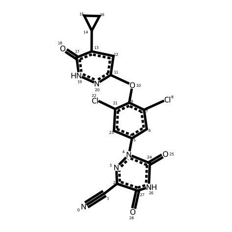 N#Cc1nn(-c2cc(Cl)c(Oc3cc(C4CC4)c(=O)[nH]n3)c(Cl)c2)c(=O)[nH]c1=O